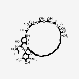 C[C@@H]1OC(=O)CC(O)CC(O)CCC(O)C(O)CC(O)CC2(O)C[C@H](O)C(C(=O)NC(CO)C(C)(C)C)[C@H](CC(O[C@@H]3O[C@H](C)C(O)[C@H](N)[C@@H]3O)/C=C/C=C/C=C/C=C/C=C/C=C/C=C/[C@H](C)C(O)[C@H]1C)O2